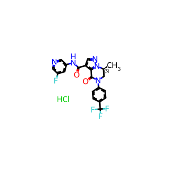 C[C@H]1CN(c2ccc(C(F)(F)F)cc2)C(=O)c2c(C(=O)Nc3cncc(F)c3)cnn21.Cl